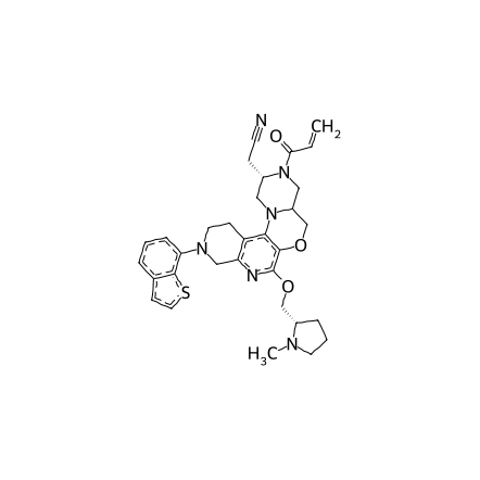 C=CC(=O)N1CC2COc3c(OC[C@@H]4CCCN4C)nc4c(c3N2C[C@@H]1CC#N)CCN(c1cccc2ccsc12)C4